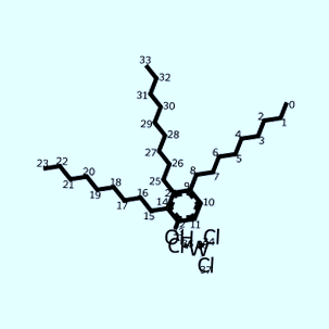 CCCCCCCCCc1ccc(O)c(CCCCCCCCC)c1CCCCCCCCC.[Cl][W]([Cl])[Cl]